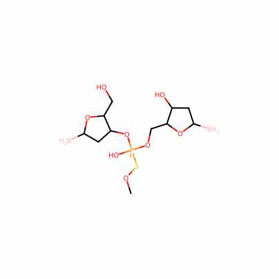 BC1CC(O)C(CO[PH](O)(OC2CC(B)OC2CO)SOC)O1